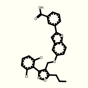 CCCc1onc(-c2c(Cl)cccc2Cl)c1COc1ccc2sc(-c3cccc(C(=O)O)c3)cc2c1